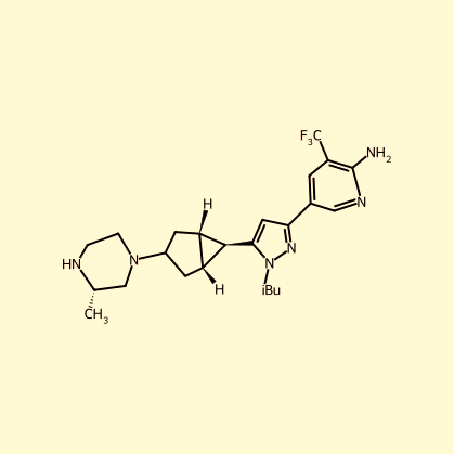 CCC(C)n1nc(-c2cnc(N)c(C(F)(F)F)c2)cc1[C@H]1[C@@H]2CC(N3CCN[C@@H](C)C3)C[C@@H]21